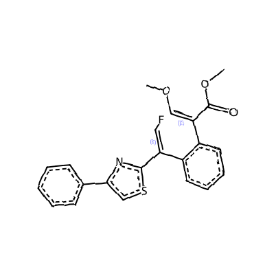 CO/C=C(\C(=O)OC)c1ccccc1/C(=C\F)c1nc(-c2ccccc2)cs1